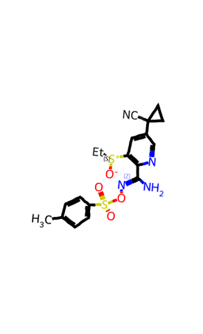 CC[S@@+]([O-])c1cc(C2(C#N)CC2)cnc1/C(N)=N/OS(=O)(=O)c1ccc(C)cc1